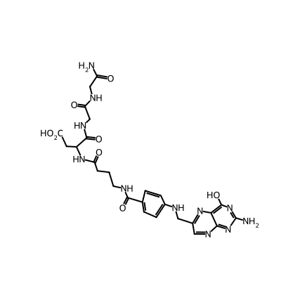 NC(=O)CNC(=O)CNC(=O)C(CC(=O)O)NC(=O)CCCNC(=O)c1ccc(NCc2cnc3nc(N)nc(O)c3n2)cc1